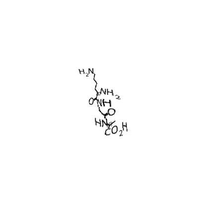 C[C@H](NC(=O)CNC(=O)[C@@H](N)CCCCN)C(=O)O